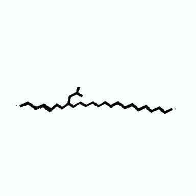 [CH2]CCC=CCCC(CCCCCCCCCCCCCCC[CH2])CC(C)C